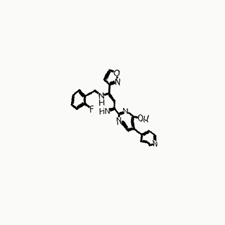 N=C(/C=C(\NCc1ccccc1F)c1ccon1)c1ncc(-c2ccncc2)c(O)n1